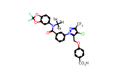 [2H]C([2H])([2H])N(C(=O)c1cccc(-n2nc(C(F)(F)F)c(Cl)c2COc2ccc(C(=O)O)cc2)c1)c1ccc2c(c1)OC(F)(F)O2